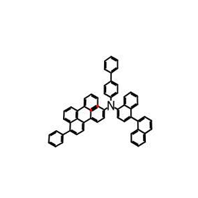 c1ccc(-c2ccc(N(c3ccc(-c4ccc(-c5ccccc5)c5cccc(-c6ccccc6)c45)cc3)c3ccc(-c4cccc5ccccc45)c4ccccc34)cc2)cc1